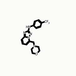 FC(F)(F)c1ccc(Nc2nc3cccc(CN4CCOCC4)n3n2)cc1